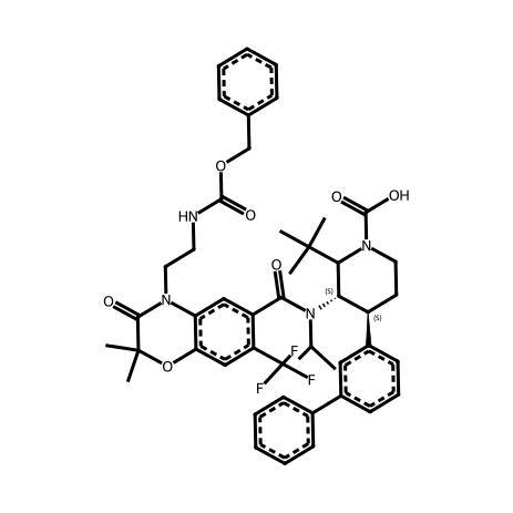 CC(C)N(C(=O)c1cc2c(cc1C(F)(F)F)OC(C)(C)C(=O)N2CCNC(=O)OCc1ccccc1)[C@@H]1C(C(C)(C)C)N(C(=O)O)CC[C@H]1c1cccc(-c2ccccc2)c1